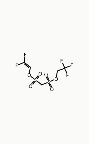 O=S(=O)(CS(=O)(=O)OCC(F)(F)F)OC=C(F)F